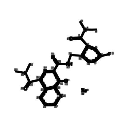 CN(C)C(=O)c1cc(F)ccc1CNC(=O)c1nc(C(=O)N(C)C)c2cccnc2c1[O-].[Na+]